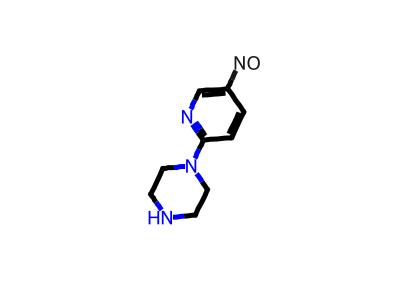 O=Nc1ccc(N2CCNCC2)nc1